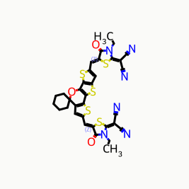 CCn1c(=C(C#N)C#N)s/c(=C\c2cc3c(s2)-c2sc4cc(/C=c5\sc(=C(C#N)C#N)n(CC)c5=O)sc4c2OC32CCCCC2)c1=O